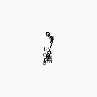 O=C1CCC(N2C(=O)c3ccc(NCCCC4CC(n5cc(-c6ccccn6)cn5)C4)cc3C2=O)C(=O)N1